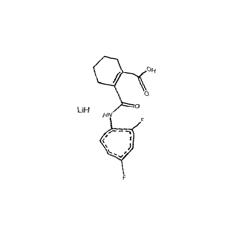 O=C(O)C1=C(C(=O)Nc2ccc(F)cc2F)CCCC1.[LiH]